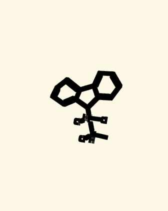 C[SiH](Cl)[Hf]([Cl])([Cl])[CH]1c2ccccc2-c2ccccc21